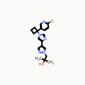 CC(C)(O)Cn1cc(-c2cn(C3(c4ccc(Cl)nc4)CCC3)cn2)cn1